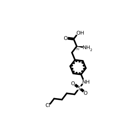 N[C@@H](Cc1ccc(NS(=O)(=O)CCCCCl)cc1)C(=O)O